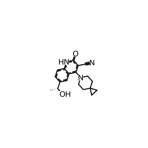 C[C@@H](O)c1ccc2[nH]c(=O)c(C#N)c(N3CCC4(CC3)CC4)c2c1